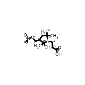 CC1(C)CC(CO[N+](=O)[O-])C(C)(C)N1CCC(=O)O